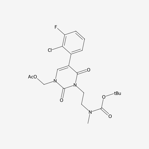 CC(=O)OCn1cc(-c2cccc(F)c2Cl)c(=O)n(CCN(C)C(=O)OC(C)(C)C)c1=O